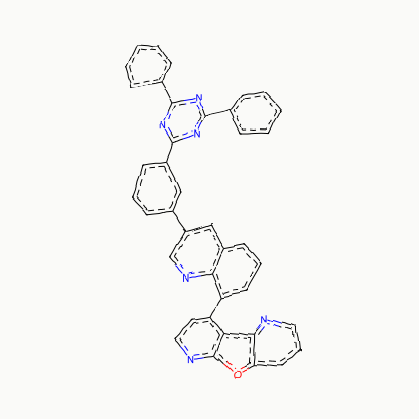 c1ccc(-c2nc(-c3ccccc3)nc(-c3cccc(-c4cnc5c(-c6ccnc7oc8cccnc8c67)cccc5c4)c3)n2)cc1